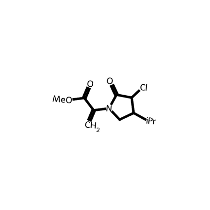 C=C(C(=O)OC)N1CC(C(C)C)C(Cl)C1=O